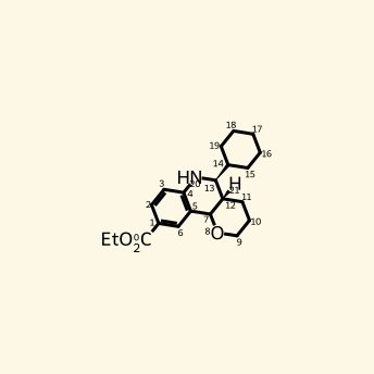 CCOC(=O)c1ccc2c(c1)C1OCCC[C@H]1[C@H](C1CCCCC1)N2